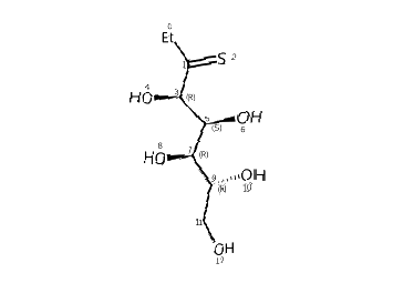 CCC(=S)[C@H](O)[C@@H](O)[C@H](O)[C@H](O)CO